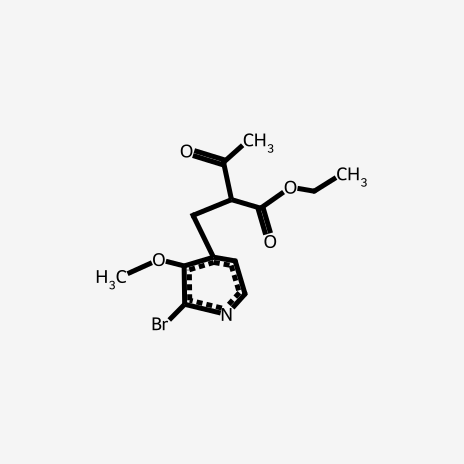 CCOC(=O)C(Cc1ccnc(Br)c1OC)C(C)=O